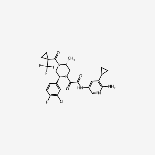 C[C@@H]1CN(C(=O)C(=O)Nc2cnc(N)c(C3CC3)c2)[C@@H](c2ccc(F)c(Cl)c2)CN1C(=O)C1(C(F)(F)F)CC1